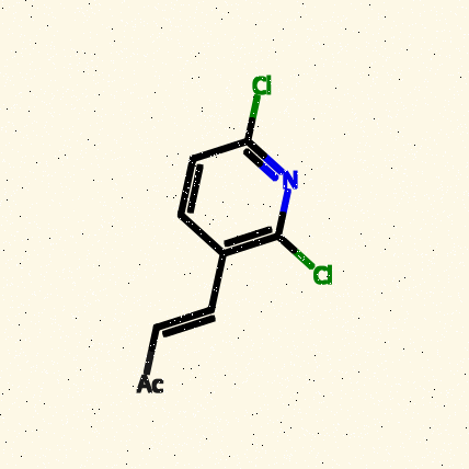 CC(=O)C=Cc1ccc(Cl)nc1Cl